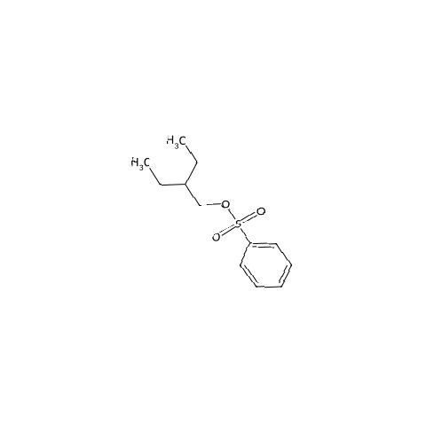 CCC(CC)COS(=O)(=O)c1ccccc1